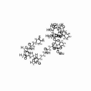 CC(=O)O[C@@]12CO[C@@H]1C[C@H](O)[C@@]1(C)C(=O)[C@H](O)C3=C(C)[C@@H](OC(=O)[C@H](OC(=O)CCC(=O)NCCCCC(NC(=O)CC[C@H](NC(=O)C(C)NC(=O)/C=C/c4ccc(F)c(F)c4)C(N)=O)C(N)=O)[C@H](NC(=O)OC(C)(C)C)c4ccccc4)C[C@@](O)([C@@H](OC(=O)c4ccccc4)[C@H]21)C3(C)C